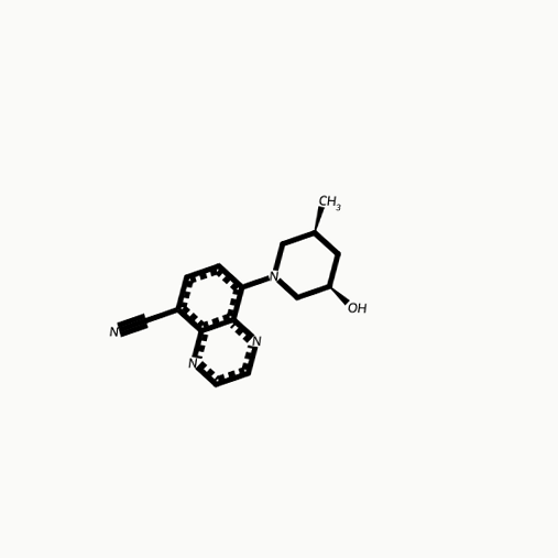 C[C@H]1C[C@@H](O)CN(c2ccc(C#N)c3nccnc23)C1